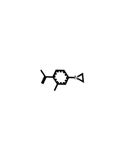 C=C(C)c1ccc(N2CC2)cc1C